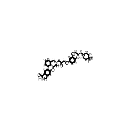 O=C1NCc2cc(OCCN(Cc3ccccc3)C[C@H](O)COc3ccc4c(c3)OC[C@@H](CN3CCC(F)(F)CC3)O4)ccc21